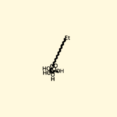 CCC=CCC=CCC=CCCCCCCCC(=O)OC1O[C@H](CO)[C@@H](O)[C@H](O)[C@H]1O